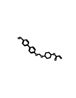 C=CC(=O)OC1CCC(OCOc2ccc(-c3ccc(CCC)cc3)cc2)CC1